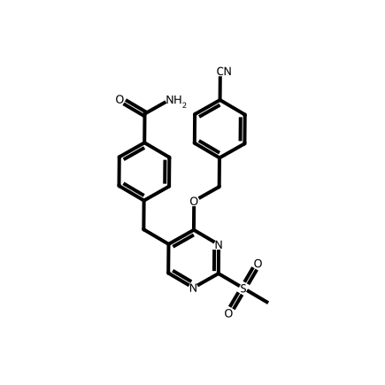 CS(=O)(=O)c1ncc(Cc2ccc(C(N)=O)cc2)c(OCc2ccc(C#N)cc2)n1